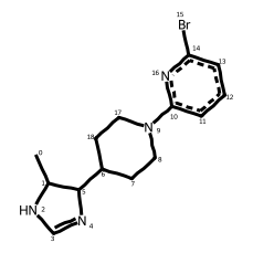 CC1NC=NC1C1CCN(c2cccc(Br)n2)CC1